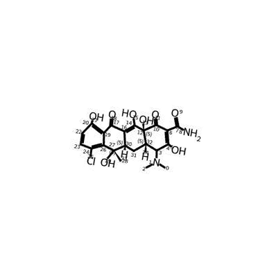 CN(C)C1C(O)=C(C(N)=O)C(=O)[C@@]2(O)C(O)=C3C(=O)c4c(O)ccc(Cl)c4[C@@](C)(O)[C@H]3C[C@@H]12